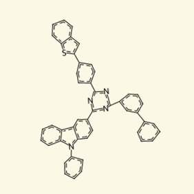 c1ccc(-c2cccc(-c3nc(-c4ccc(-c5cc6ccccc6s5)cc4)nc(-c4ccc5c(c4)c4ccccc4n5-c4ccccc4)n3)c2)cc1